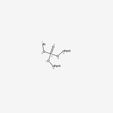 CCCCCOP(=O)(OCCCCC)OC(C)C